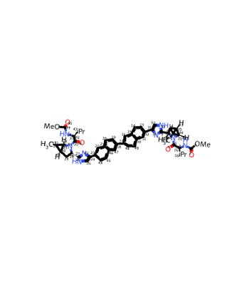 COC(=O)N[C@H](C(=O)N1[C@H](c2nc(-c3ccc4cc(-c5ccc6cc(-c7c[nH]c([C@@H]8C[C@H]9[C@@H](C)[C@H]9N8C(=O)[C@@H](NC(=O)OC)C(C)C)n7)ccc6c5)ccc4c3)c[nH]2)C2[C@@H]3[C@H]1[C@]23C)C(C)C